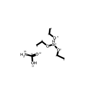 CCO[SiH](OCC)OCC.NC(=O)O